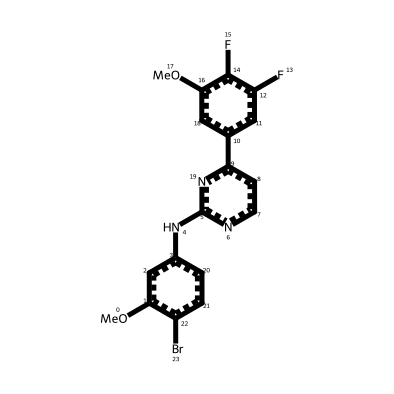 COc1cc(Nc2nccc(-c3cc(F)c(F)c(OC)c3)n2)ccc1Br